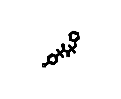 CC(C)(Cc1ccccc1)NC(=O)C(C)(C)c1ccc(Cl)cc1